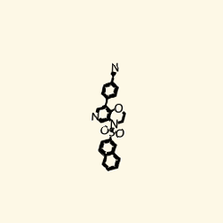 N#Cc1ccc(-c2cncc3c2OCCN3S(=O)(=O)c2ccc3ccccc3c2)cc1